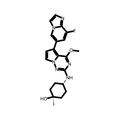 COc1nc(N[C@H]2CC[C@](C)(O)CC2)nn2ccc(-c3cc(F)c4nccn4c3)c12